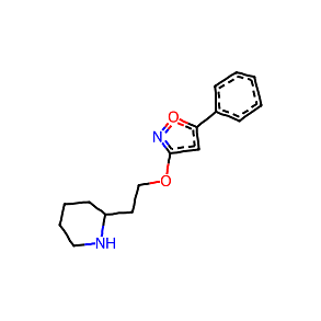 c1ccc(-c2cc(OCCC3CCCCN3)no2)cc1